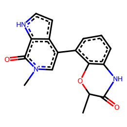 CC1Oc2c(cccc2-c2cn(C)c(=O)c3[nH]ccc23)NC1=O